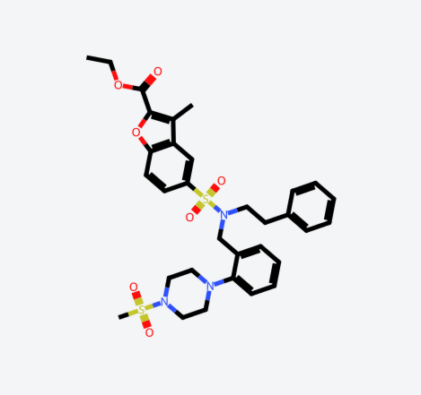 CCOC(=O)c1oc2ccc(S(=O)(=O)N(CCc3ccccc3)Cc3ccccc3N3CCN(S(C)(=O)=O)CC3)cc2c1C